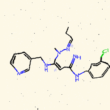 CC/C=N\N(C)/C(=C\C(=N)Nc1cccc(Cl)c1)NCc1cccnc1